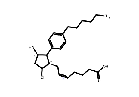 CCCCCCc1ccc(C2[C@@H](C/C=C\CCCC(=O)O)C(Cl)C[C@H]2O)cc1